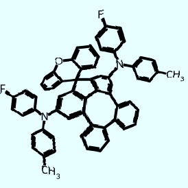 Cc1ccc(N(c2ccc(F)cc2)c2cc3c4c(c2)C2(c5ccccc5Oc5ccccc52)c2cc(N(c5ccc(C)cc5)c5ccc(F)cc5)cc(c2-4)-c2ccccc2-c2ccccc2-3)cc1